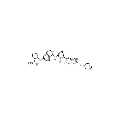 Cc1c(Nc2nccc3cc(CN4CCCCC4C(=O)O)cnc23)cccc1-c1ccc2cc(CCN3CCOCC3)[nH]c2c1